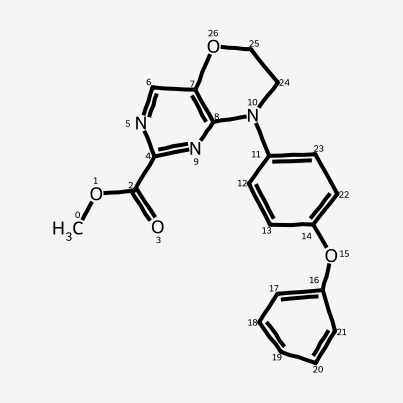 COC(=O)c1ncc2c(n1)N(c1ccc(Oc3ccccc3)cc1)CCO2